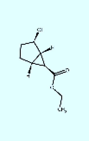 CCOC(=O)[C@H]1[C@@H]2CC[C@@H](O)[C@@H]21